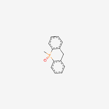 CP1(=O)c2ccccc2Cc2ccccc21